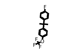 CC(C)(c1ccc(F)cc1)c1ccc(OC(F)(F)F)cc1